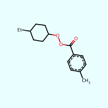 CCC1CC[C](OOC(=O)c2ccc(C)cc2)CC1